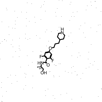 C[C@H](CO)NC(=O)c1c(F)cc(OCCCC2CCNCC2)cc1F